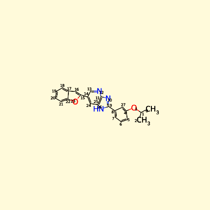 CC(C)Oc1cccc(-c2nc3ncc(-c4cc5ccccc5o4)cc3[nH]2)c1